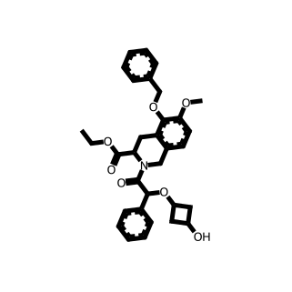 CCOC(=O)C1Cc2c(ccc(OC)c2OCc2ccccc2)CN1C(=O)C(OC1CC(O)C1)c1ccccc1